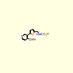 COc1ccncc1-c1ccc(CNC(=O)O)o1